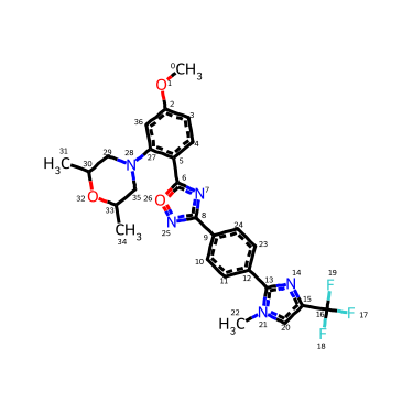 COc1ccc(-c2nc(-c3ccc(-c4nc(C(F)(F)F)cn4C)cc3)no2)c(N2CC(C)OC(C)C2)c1